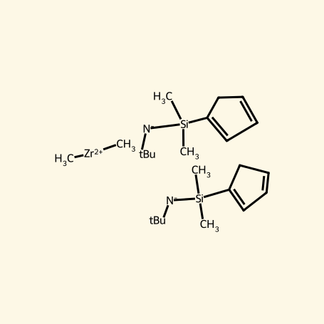 CC(C)(C)[N-][Si](C)(C)C1=CC=CC1.CC(C)(C)[N-][Si](C)(C)C1=CC=CC1.[CH3][Zr+2][CH3]